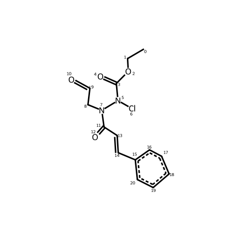 CCOC(=O)N(Cl)N(C[C]=O)C(=O)C=Cc1ccccc1